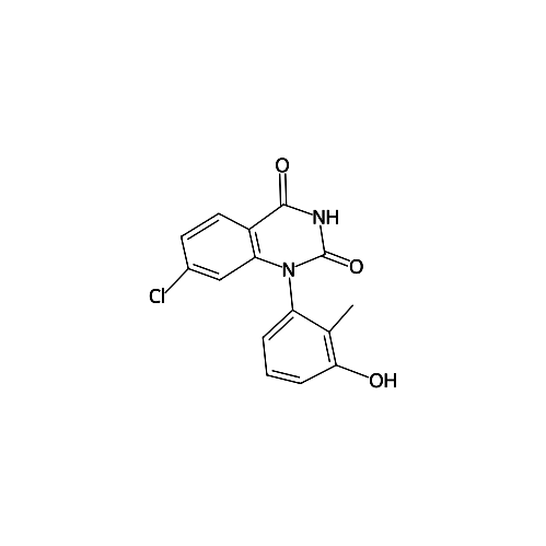 Cc1c(O)cccc1-n1c(=O)[nH]c(=O)c2ccc(Cl)cc21